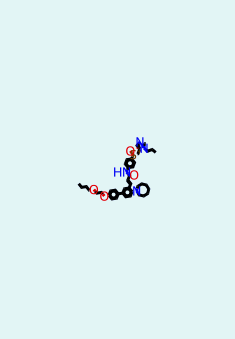 CCCCOCCOc1ccc(-c2ccc(N3CCCCCCC3)c(C=CC(=O)Nc3ccc([S+]([O-])Cc4cncn4CCC)cc3)c2)cc1